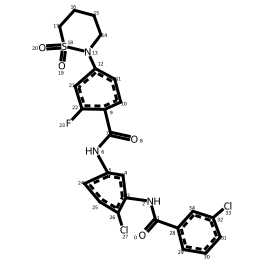 O=C(Nc1cc(NC(=O)c2ccc(N3CCCCS3(=O)=O)cc2F)ccc1Cl)c1cccc(Cl)c1